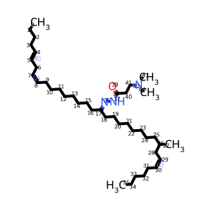 CCCC/C=C/C/C=C\CCCCCCCCC(CCCCCCCCC(C)C/C=C\CCCCC)=NNC(=O)CCN(C)C